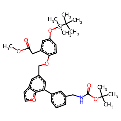 COC(=O)Cc1cc(O[Si](C)(C)C(C)(C)C)ccc1OCc1cc(-c2cccc(CNC(=O)OC(C)(C)C)c2)c2occc2c1